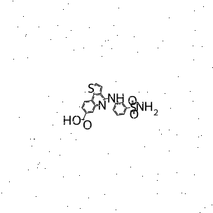 NS(=O)(=O)c1cccc(Nc2nc3cc(C(=O)O)ccc3c3sccc23)c1